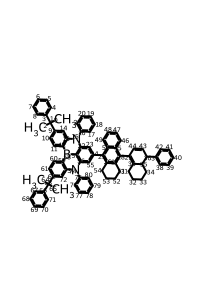 CC(C)(c1ccccc1)c1ccc2c(c1)N(c1ccccc1)c1cc(-c3c4c(c(C5=C6CCCCC6C(c6ccccc6)C=C5)c5ccccc35)CCCC4)cc3c1B2c1ccc(C(C)(C)c2ccccc2)cc1N3c1ccccc1